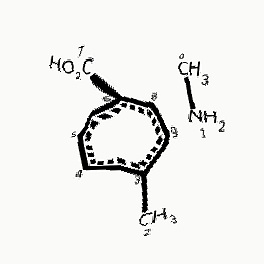 CN.Cc1ccc(C(=O)O)cc1